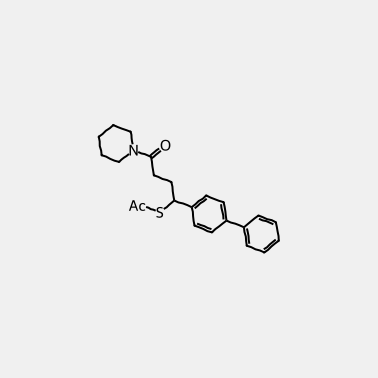 CC(=O)SC(CCC(=O)N1CCCCC1)c1ccc(-c2ccccc2)cc1